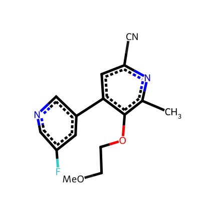 COCCOc1c(-c2cncc(F)c2)cc(C#N)nc1C